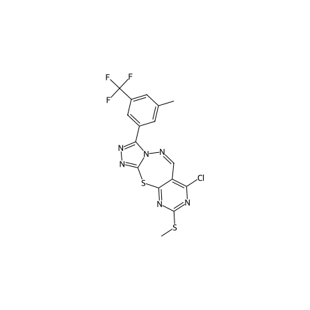 CSc1nc(Cl)c2c(n1)Sc1nnc(-c3cc(C)cc(C(F)(F)F)c3)n1N=C2